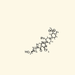 CC(C)C1CN(c2ccc(F)c(S(C)(=O)=O)c2)CCN1c1ncc(C(=O)NC2CN(C(=O)O)C2)c(C(F)(F)F)n1